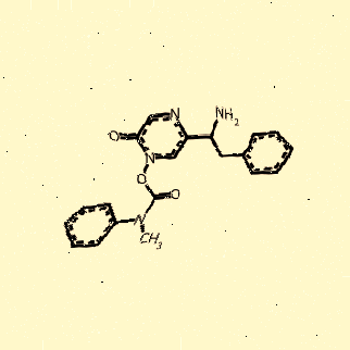 CN(C(=O)On1cc(C(N)Cc2ccccc2)ncc1=O)c1ccccc1